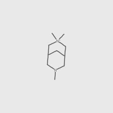 CN1CC2CC(C1)C[N+](C)(C)C2